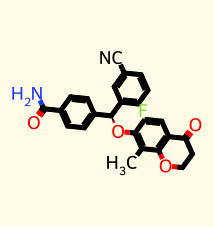 Cc1c(O[C@H](c2ccc(C(N)=O)cc2)c2cccc(C#N)c2)c(F)cc2c1OCCC2=O